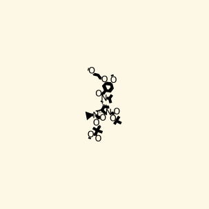 COCCCOc1cc(C(=O)N(C[C@@H]2CN(C(=O)OC(C)(C)C)C[C@H]2CN(C(=O)OCC(C)(C)C(=O)OC)C2CC2)C(C)C)ccc1OC